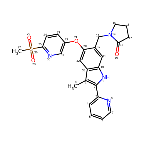 Cc1c(-c2ccccn2)[nH]c2cc(CN3CCCC3=O)c(Oc3ccc(S(C)(=O)=O)nc3)cc12